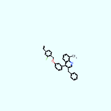 C=Cc1ccc(COc2cccc(-c3c(Cc4ccccc4)cnc4c(C(F)(F)F)cccc34)c2)c(F)c1